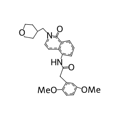 COc1ccc(OC)c(CC(=O)Nc2cccc3c(=O)n(CC4CCOCC4)ccc23)c1